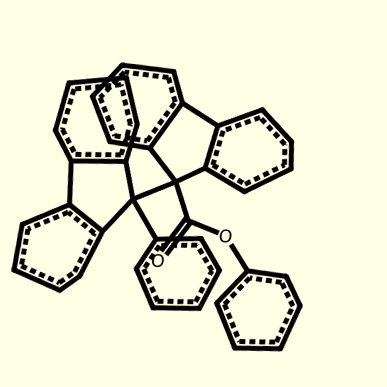 O=C(Oc1ccccc1)C1(C2(c3ccccc3)c3ccccc3-c3ccccc32)c2ccccc2-c2ccccc21